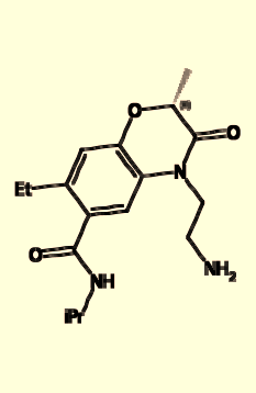 CCc1cc2c(cc1C(=O)NC(C)C)N(CCN)C(=O)[C@@H](C)O2